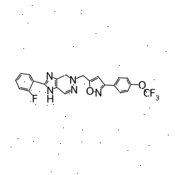 Fc1ccccc1-c1nc2c([nH]1)C=NN(Cc1cc(-c3ccc(OC(F)(F)F)cc3)no1)C2